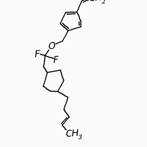 C=Cc1ccc(COC(F)(F)CC2CCC(CCC=CC)CC2)cc1